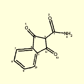 NC(=O)C1C(=O)c2ccccc2C1=O